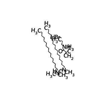 Br.C=C(C)C(=O)NCCC.CCCCCCCCCCCCCCCCN(C)C.CCCCCCCCCCCCCCCCN(C)C